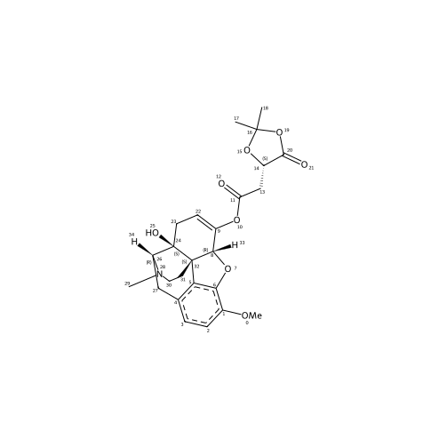 COc1ccc2c3c1O[C@H]1C(OC(=O)C[C@@H]4OC(C)(C)OC4=O)=CC[C@@]4(O)[C@@H](C2)N(C)CC[C@]314